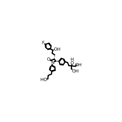 O=C1[C@H](CC[C@H](O)c2ccc(F)cc2)[C@@H](c2ccc(CCC(O)(CO)CO)cc2)N1c1ccc(CCCO)cc1